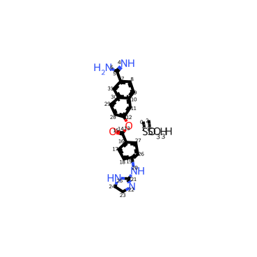 CS(=O)(=O)O.CS(=O)(=O)O.N=C(N)c1ccc2cc(OC(=O)c3ccc(NC4=NCCN4)cc3)ccc2c1